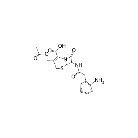 CC(=O)OCC1=C(C(=O)O)N2C(=O)C(NC(=O)Cc3ccccc3N)C2SC1